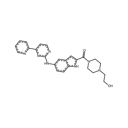 O=C(c1cc2cc(Nc3nccc(-c4ccccn4)n3)ccc2[nH]1)N1CCN(CCO)CC1